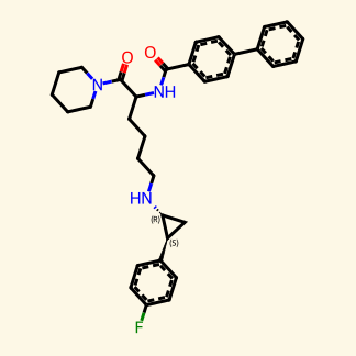 O=C(NC(CCCCN[C@@H]1C[C@H]1c1ccc(F)cc1)C(=O)N1CCCCC1)c1ccc(-c2ccccc2)cc1